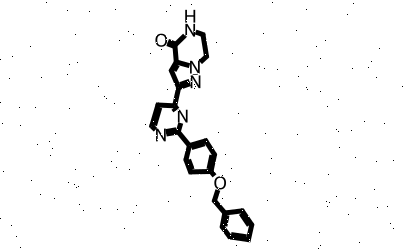 O=C1NCCn2nc(-c3ccnc(-c4ccc(OCc5ccccc5)cc4)n3)cc21